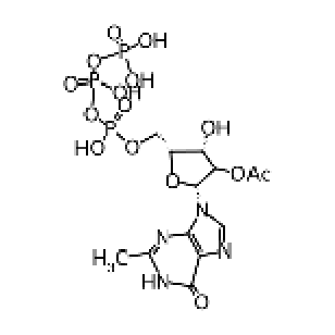 CC(=O)OC1[C@@H](O)[C@@H](COP(=O)(O)OP(=O)(O)OP(=O)(O)O)O[C@H]1n1cnc2c(=O)[nH]c(C)nc21